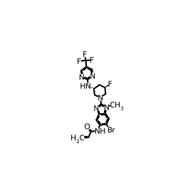 C=CC(=O)Nc1cc2nc(N3C[C@H](F)C[C@@H](Nc4ncc(C(F)(F)F)cn4)C3)n(C)c2cc1Br